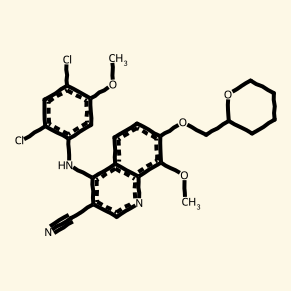 COc1cc(Nc2c(C#N)cnc3c(OC)c(OCC4CCCCO4)ccc23)c(Cl)cc1Cl